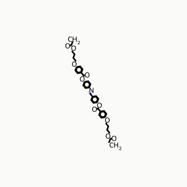 C=CC(=O)OCCCCOc1ccc(C(=O)Oc2ccc(/C=N/c3ccc(OC(=O)c4ccc(OCCCCOC(=O)C=C)cc4)cc3)cc2)cc1